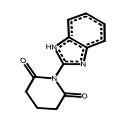 O=C1CCCC(=O)N1c1nc2ccccc2[nH]1